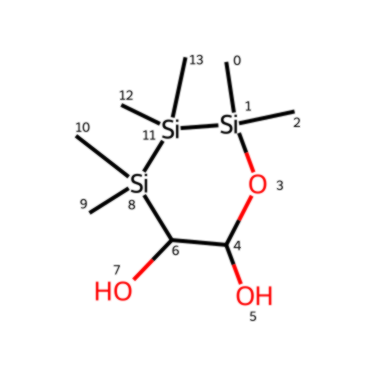 C[Si]1(C)OC(O)C(O)[Si](C)(C)[Si]1(C)C